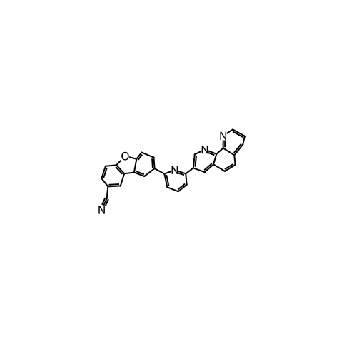 N#Cc1ccc2oc3ccc(-c4cccc(-c5cnc6c(ccc7cccnc76)c5)n4)cc3c2c1